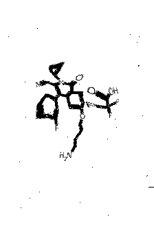 N#Cc1c(-c2cccc(F)c2)c2cc(OCCCCN)ccc2c(=O)n1C1CC1.O=C(O)C(F)(F)F